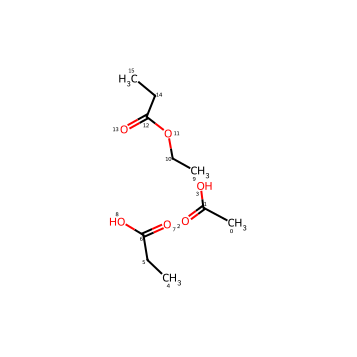 CC(=O)O.CCC(=O)O.CCOC(=O)CC